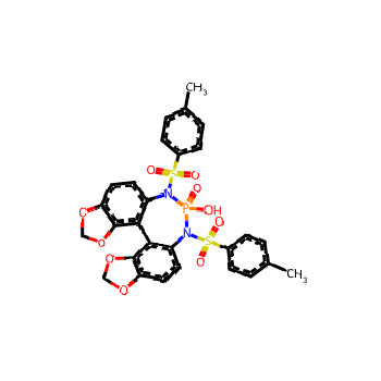 Cc1ccc(S(=O)(=O)N2c3ccc4c(c3-c3c(ccc5c3OCO5)N(S(=O)(=O)c3ccc(C)cc3)P2(=O)O)OCO4)cc1